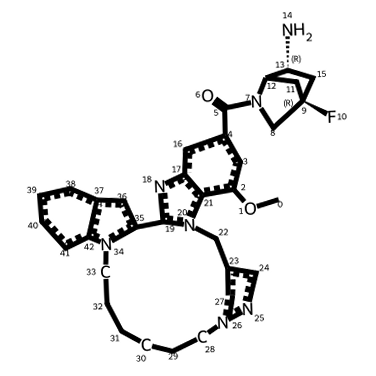 COc1cc(C(=O)N2C[C@]3(F)CC2[C@H](N)C3)cc2nc3n(c12)Cc1cnn(c1)CCCCCCn1c-3cc2ccccc21